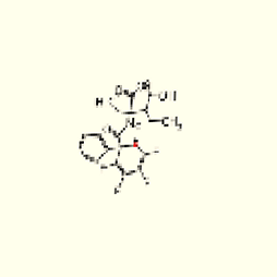 CCC(C(=O)O)C(CC)(C(=O)O)N(F)C(=O)C1(c2ccccc2)C(F)=C(F)C(F)=C(F)C1F